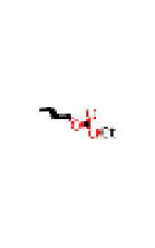 C/C=C/COC(=O)OCC